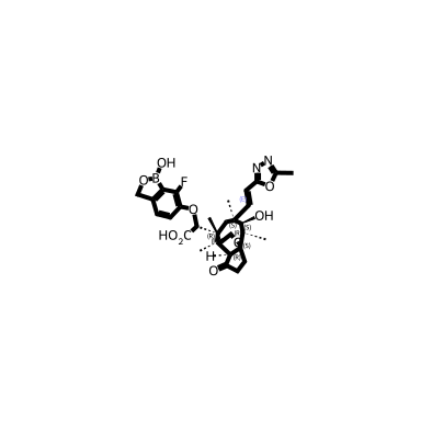 Cc1nnc(/C=C/[C@]2(C)C[C@@H](C(Oc3ccc4c(c3F)B(O)OC4)C(=O)O)[C@@]3(C)[C@H](C)CC[C@]4(CCC(=O)[C@H]43)[C@@H](C)[C@@H]2O)o1